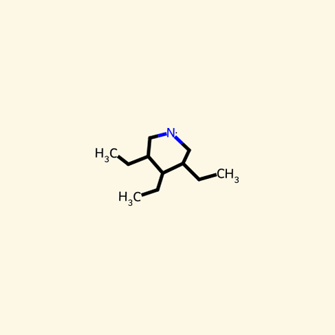 CCC1C[N]CC(CC)C1CC